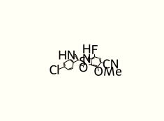 COc1cc(N[S+]([O-])c2c[nH]c3cc(Cl)ccc23)c(F)cc1C#N